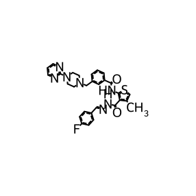 Cc1csc(NC(=O)c2cccc(CN3CCN(c4ncccn4)CC3)c2)c1C(=O)NN=Cc1ccc(F)cc1